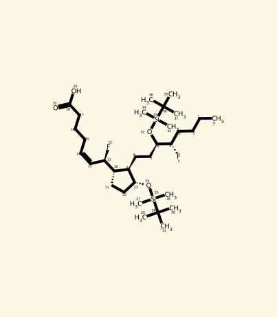 CCCC[C@H](F)[C@@H](CC[C@@H]1[C@@H]([C@H](F)/C=C\CCCC(=O)O)CC[C@H]1O[Si](C)(C)C(C)(C)C)O[Si](C)(C)C(C)(C)C